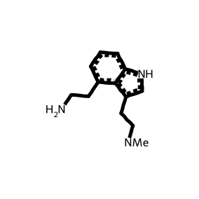 CNCCc1c[nH]c2cccc(CCN)c12